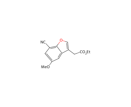 CCOC(=O)Cc1coc2c(C#N)cc(OC)cc12